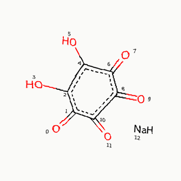 O=c1c(O)c(O)c(=O)c(=O)c1=O.[NaH]